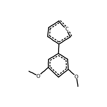 COc1cc(OC)cc(-c2ccccc2)c1